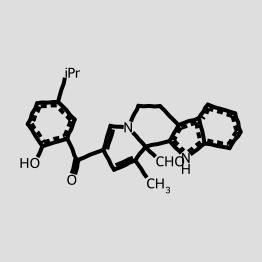 CC1=CC(C(=O)c2cc(C(C)C)ccc2O)=CN2CCc3c([nH]c4ccccc34)C12C=O